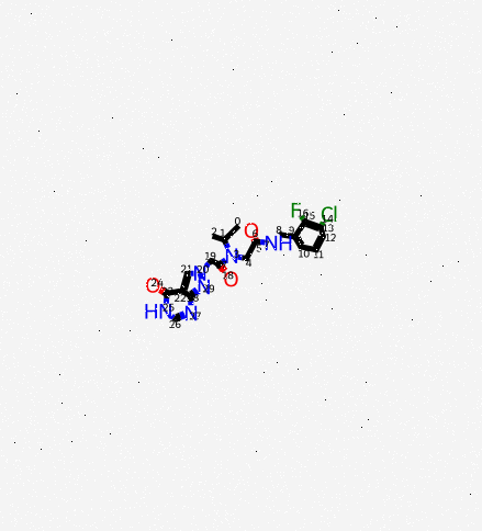 CC(C)N(CC(=O)NCc1cccc(Cl)c1F)C(=O)Cn1cc2c(=O)[nH]cnc2n1